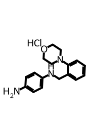 Cl.Nc1ccc(NCc2ccccc2N2CCOCC2)cc1